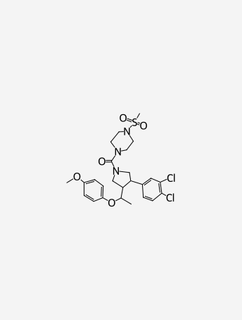 COc1ccc(OC(C)C2CN(C(=O)N3CCN(S(C)(=O)=O)CC3)CC2c2ccc(Cl)c(Cl)c2)cc1